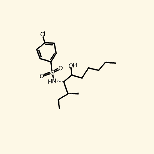 CCCCCC(O)[C@@H](NS(=O)(=O)c1ccc(Cl)cc1)[C@@H](C)CC